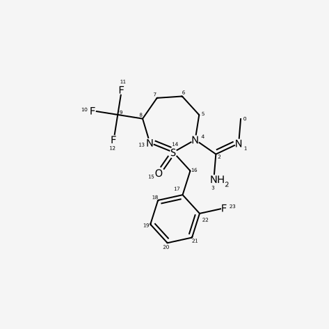 C/N=C(/N)N1CCCC(C(F)(F)F)N=S1(=O)Cc1ccccc1F